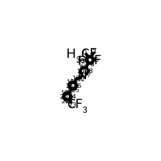 Cc1c(F)c(F)cc(C2=CCN(CCc3ccc(-c4cccc(C(F)(F)F)c4)cc3)CC2)c1F